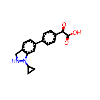 O=C(O)C(=O)c1ccc(-c2ccc3c(c2)N(C2CC2)NC3)cc1